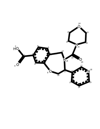 O=C(O)c1ccc2c(c1)OCC(c1cccnc1)N(C(=O)N1CCOCC1)C2